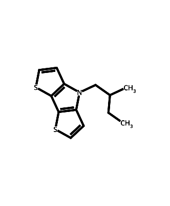 CCC(C)Cn1c2ccsc2c2sccc21